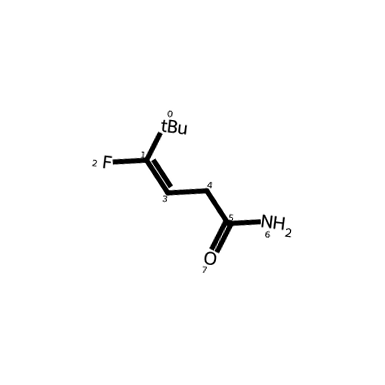 CC(C)(C)/C(F)=C\CC(N)=O